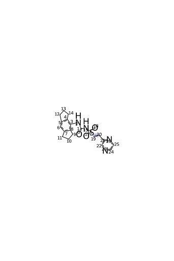 O=C(Nc1c2c(cc3c1CCC3)CCC2)NS(=O)(=O)/C=C/c1cnccn1